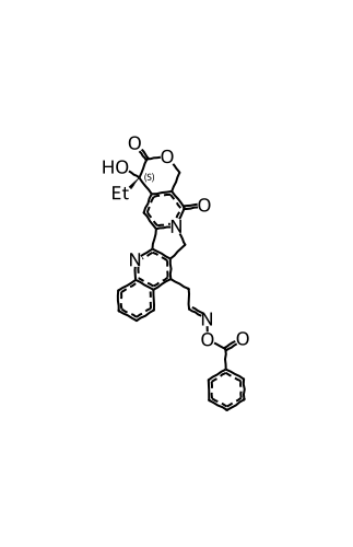 CC[C@@]1(O)C(=O)OCc2c1cc1n(c2=O)Cc2c-1nc1ccccc1c2CC=NOC(=O)c1ccccc1